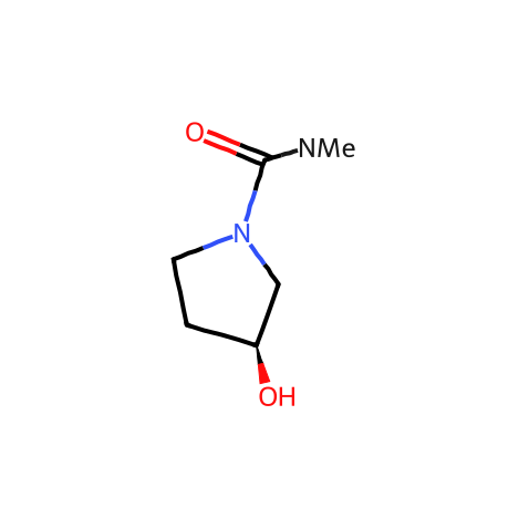 CNC(=O)N1CC[C@H](O)C1